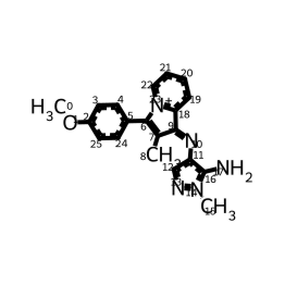 COc1ccc(C2=C(C)/C(=N\c3cnn(C)c3N)c3cccc[n+]32)cc1